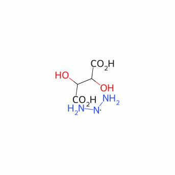 N[N]N.O=C(O)C(O)C(O)C(=O)O